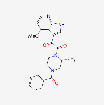 COC1C=CN=C2NC=C(C(=O)C(=O)N3CCN(C(=O)C4=CC=CCC4)C[C@H]3C)C21